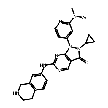 CC(=O)N(C)c1cc(-n2c3nc(Nc4ccc5c(c4)CNCC5)ncc3c(=O)n2C2CC2)ccn1